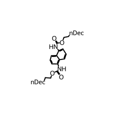 CCCCCCCCCCCCOC(=O)Nc1cccc2c(NC(=O)OCCCCCCCCCCCC)cccc12